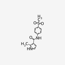 Cc1[nH]ccc1C(=O)Nc1ccc(S(C)(=O)=O)cc1